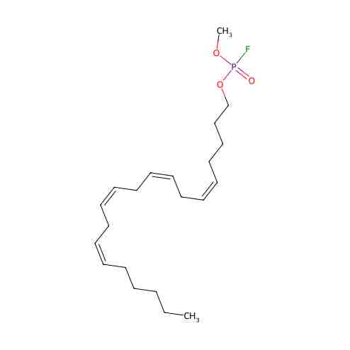 CCCCC/C=C\C/C=C\C/C=C\C/C=C\CCCCOP(=O)(F)OC